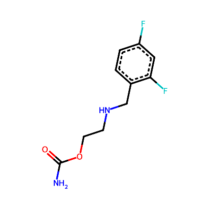 NC(=O)OCCNCc1ccc(F)cc1F